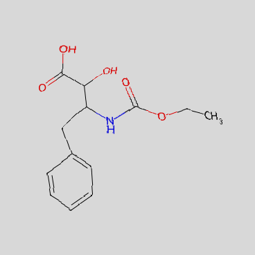 CCOC(=O)NC(Cc1ccccc1)C(O)C(=O)O